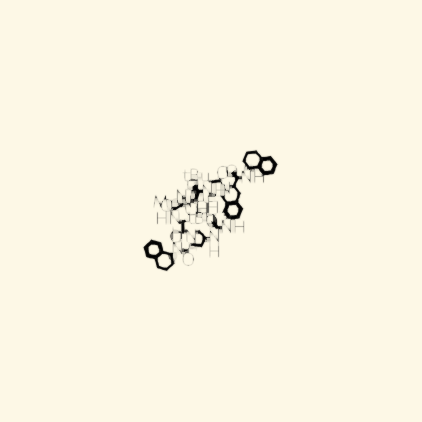 CNC(C)C(=O)NC(C(=O)N1Cc2cc(NC(=O)N[C@H]3C[C@@H](C(=O)N[C@@H]4CCCc5ccccc54)N(C(=O)C(NC(=O)C(C)NC)C(C)(C)C)C3)ccc2CC1C(=O)N[C@@H]1CCCc2ccccc21)C(C)(C)C